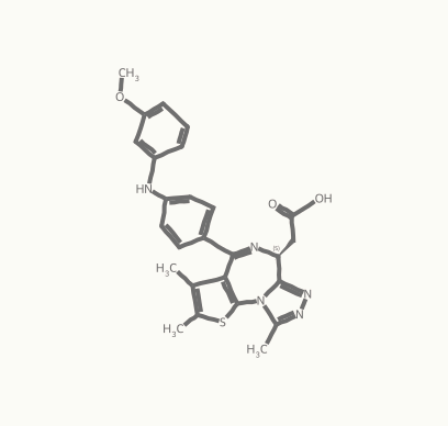 COc1cccc(Nc2ccc(C3=N[C@@H](CC(=O)O)c4nnc(C)n4-c4sc(C)c(C)c43)cc2)c1